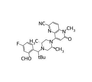 C[C@@H]1CN(c2cc(=O)n(C)c3ccc(C#N)nc23)[C@@H](C)CN1C(c1ccc(F)cc1C=O)C(C)(C)C